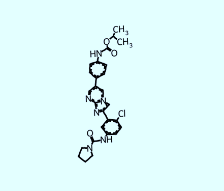 CC(C)OC(=O)Nc1ccc(-c2cnc3nc(-c4cc(NC(=O)N5CCCC5)ccc4Cl)cn3c2)cc1